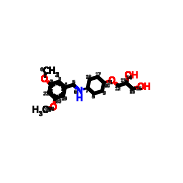 COc1cc(CN[C@H]2CC[C@H](OCC(O)CO)CC2)cc(OC)c1